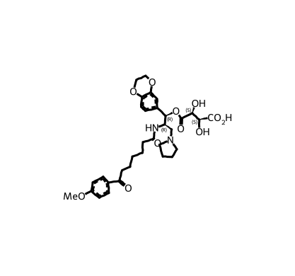 COc1ccc(C(=O)CCCCCC(=O)N[C@H](CN2CCCC2)[C@H](OC(=O)[C@@H](O)[C@H](O)C(=O)O)c2ccc3c(c2)OCCO3)cc1